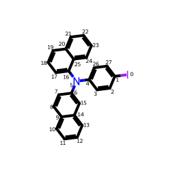 Ic1ccc(N(c2ccc3ccccc3c2)c2cccc3ccccc23)cc1